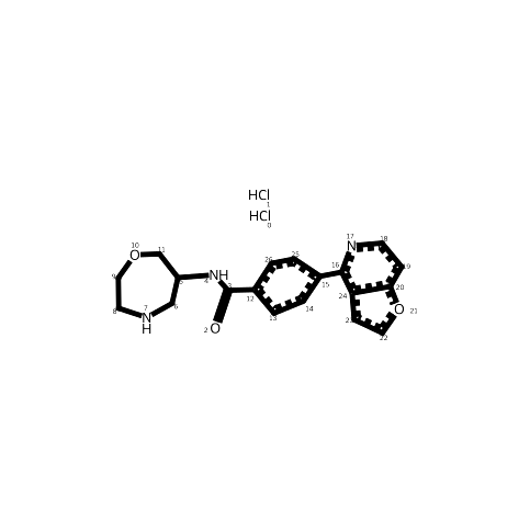 Cl.Cl.O=C(NC1CNCCOC1)c1ccc(-c2nccc3occc23)cc1